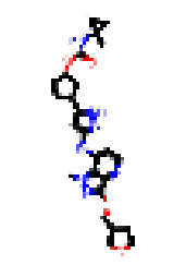 Cn1nc(OCC2CCOC2)c2nccc(Nc3cc(C4CCC(OC(=O)NC5(C)CC5)C4)[nH]n3)c21